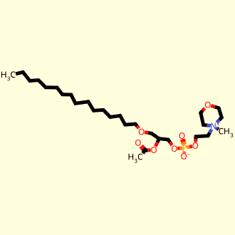 CCCCCCCCCCCCCCCCOCC(COP(=O)([O-])OCC[N+]1(C)CCOCC1)OC(C)=O